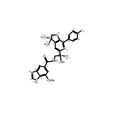 COc1cc(C(=O)NC[C@@](O)(c2cc3c(c(-c4ccc(F)cc4)n2)OC[C@@]3(C)N)C(F)(F)F)cc2nc[nH]c12